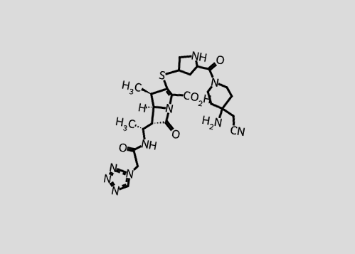 C[C@@H](NC(=O)Cn1cnnn1)[C@H]1C(=O)N2C(C(=O)O)=C(SC3CNC(C(=O)N4CCC(N)(CC#N)CC4)C3)[C@H](C)[C@H]12